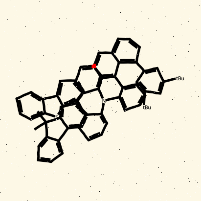 CC(C)(C)c1cc(-c2cccc3cccc(-c4ccccc4N(c4ccccc4-c4ccc5c(c4)C(C)(C)c4ccccc4-5)c4ccccc4-c4cccc5c4sc4ccccc45)c23)cc(C(C)(C)C)c1